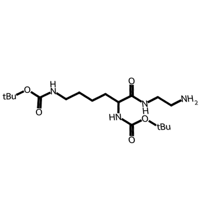 CC(C)(C)OC(=O)NCCCCC(NC(=O)OC(C)(C)C)C(=O)NCCN